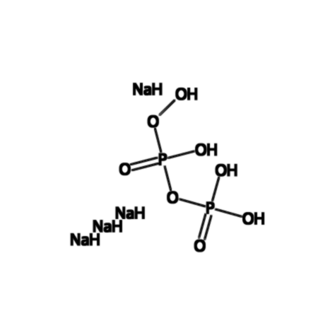 O=P(O)(O)OP(=O)(O)OO.[NaH].[NaH].[NaH].[NaH]